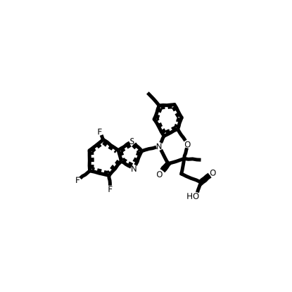 Cc1ccc2c(c1)N(c1nc3c(F)c(F)cc(F)c3s1)C(=O)C(C)(CC(=O)O)O2